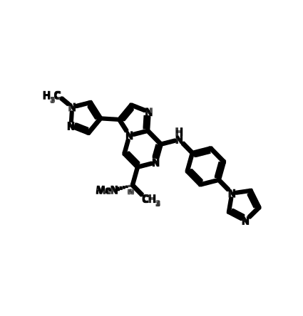 CN[C@@H](C)c1cn2c(-c3cnn(C)c3)cnc2c(Nc2ccc(-n3ccnc3)cc2)n1